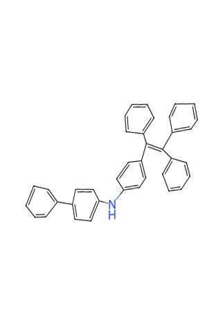 c1ccc(C(=C(c2ccccc2)c2ccc(Nc3ccc(-c4ccccc4)cc3)cc2)c2ccccc2)cc1